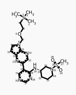 C[Si](C)(C)CCOCn1ccc2nc(-c3cncnc3N[C@H]3CCCN(S(C)(=O)=O)C3)cnc21